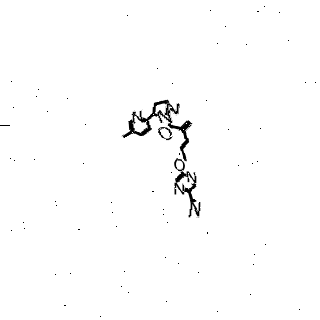 C=C(CCCOc1cnc(C#N)cn1)C(=O)N1N=CCC1c1ccc(C)cn1